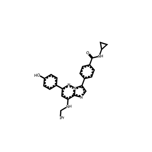 CC(C)CNc1cc(-c2ccc(O)cc2)nn2c(-c3ccc(C(=O)NC4CC4)cc3)cnc12